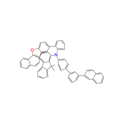 CC1(C)c2ccccc2-c2cccc(N(c3ccc(-c4cccc(-c5ccc6ccccc6c5)c4)cc3)c3ccccc3-c3ccc4oc5c6ccccc6ccc5c4c3)c21